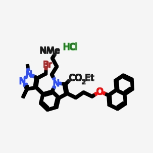 CCOC(=O)c1c(CCCOc2cccc3ccccc23)c2cccc(-c3c(C)nn(C)c3CBr)c2n1CCCNC.Cl